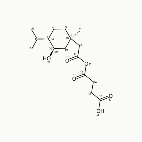 CC(C)[C@@H]1CC[C@@](C)(CC(=O)OC(=O)CCC(=O)O)C[C@H]1O